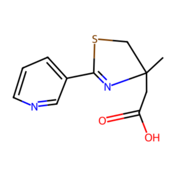 CC1(CC(=O)O)CSC(c2cccnc2)=N1